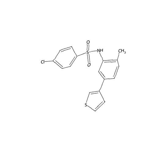 Cc1ccc(-c2ccsc2)cc1NS(=O)(=O)c1ccc(Cl)cc1